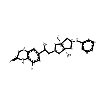 O=C1COc2cc(C(O)CN3C[C@H]4C[C@H](Oc5ccccc5)C[C@@]4(O)C3)cc(F)c2N1